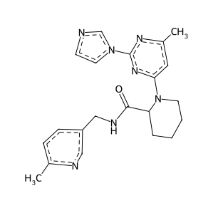 Cc1ccc(CNC(=O)C2CCCCN2c2cc(C)nc(-n3ccnc3)n2)cn1